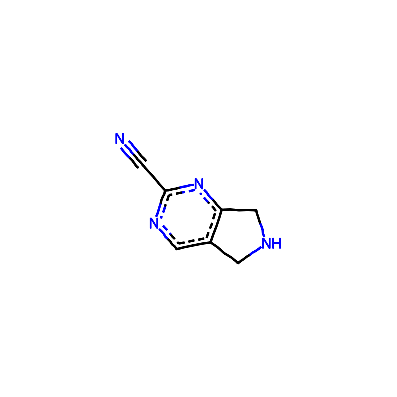 N#Cc1ncc2c(n1)CNC2